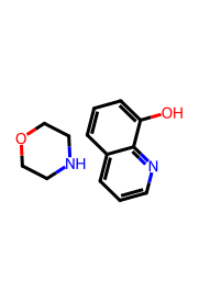 C1COCCN1.Oc1cccc2cccnc12